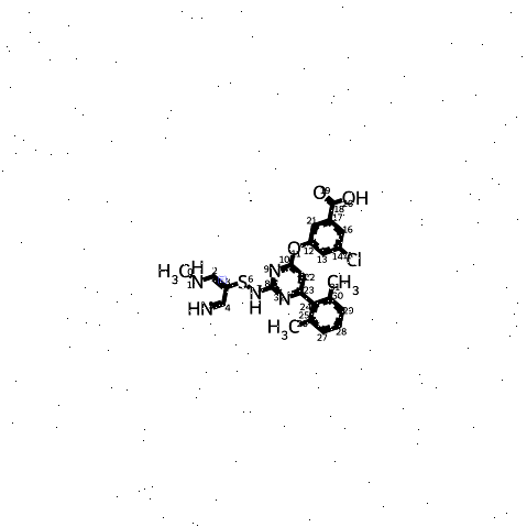 CN/C=C(\C=N)SNc1nc(Oc2cc(Cl)cc(C(=O)O)c2)cc(-c2c(C)cccc2C)n1